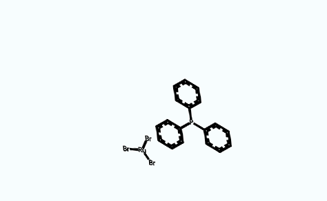 [Br][Ru]([Br])[Br].c1ccc(P(c2ccccc2)c2ccccc2)cc1